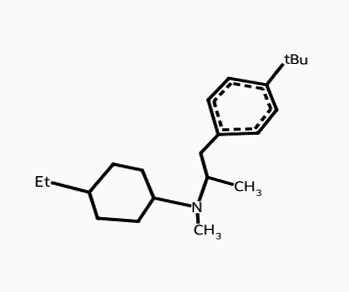 CCC1CCC(N(C)C(C)Cc2ccc(C(C)(C)C)cc2)CC1